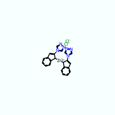 C1=C(n2cnnc2)[CH]([Zr+2][CH]2C(n3cnnc3)=Cc3ccccc32)c2ccccc21.[Cl-].[Cl-]